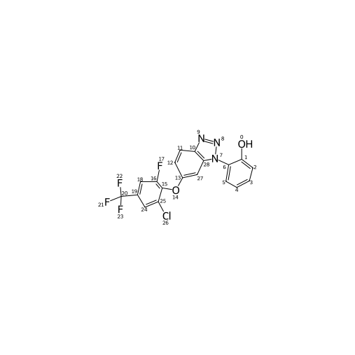 Oc1ccccc1-n1nnc2ccc(Oc3c(F)cc(C(F)(F)F)cc3Cl)cc21